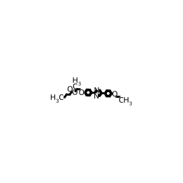 CCCCC(=O)OC(C)COc1ccc(-c2ncc(-c3ccc(OCCC)cc3)cn2)cc1